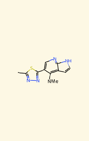 CNc1c(-c2nnc(C)s2)cnc2[nH]ccc12